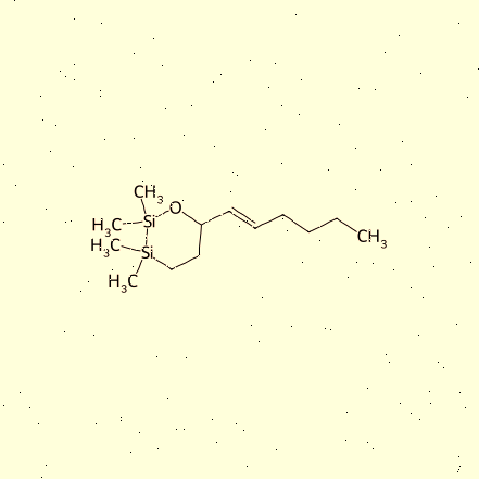 CCCCC=CC1CC[Si](C)(C)[Si](C)(C)O1